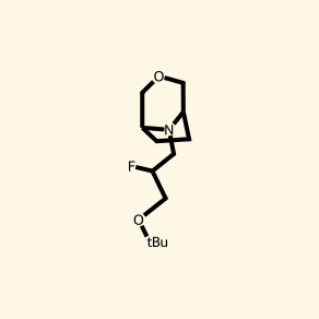 CC(C)(C)OCC(F)CN1C2CCC1COC2